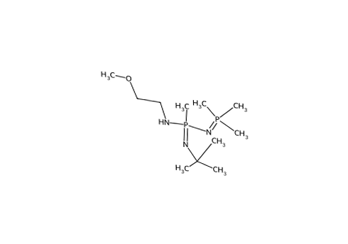 COCCNP(C)(N=P(C)(C)C)=NC(C)(C)C